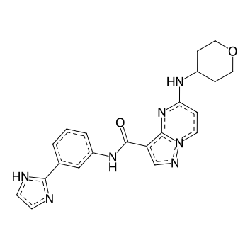 O=C(Nc1cccc(-c2ncc[nH]2)c1)c1cnn2ccc(NC3CCOCC3)nc12